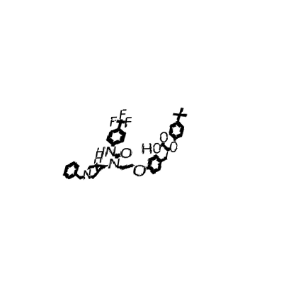 CC(C)(C)c1ccc(O[C@@H](Cc2ccc(OCCN(C(=O)Nc3ccc(C(F)(F)F)cc3)[C@@H]3C4CN(Cc5ccccc5)C[C@H]43)cc2)C(=O)O)cc1